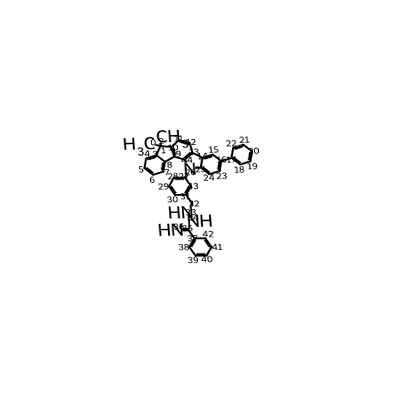 CC1(C)c2ccccc2-c2c1ccc1c3cc(-c4ccccc4)ccc3n(-c3cccc(CNNC(=N)c4ccccc4)c3)c21